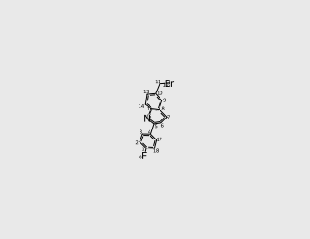 Fc1ccc(-c2ccc3cc(CBr)ccc3n2)cc1